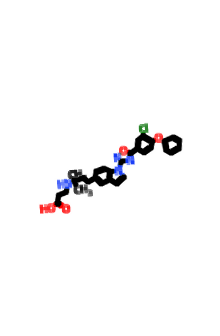 CC(C)(CCc1ccc2c(ccn2-c2noc(-c3ccc(Oc4ccccc4)c(Cl)c3)n2)c1)NCCC(=O)O